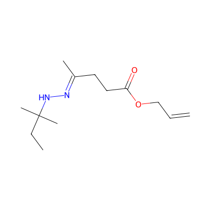 C=CCOC(=O)CCC(C)=NNC(C)(C)CC